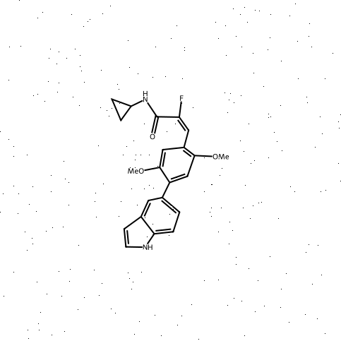 COc1cc(-c2ccc3[nH]ccc3c2)c(OC)cc1/C=C(/F)C(=O)NC1CC1